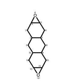 C1C2CC3OC3CC2CC2CC3OC3CC12